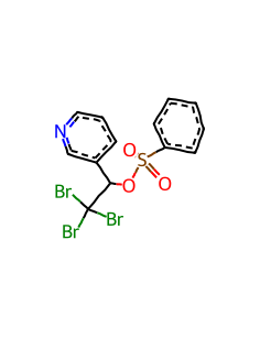 O=S(=O)(OC(c1cccnc1)C(Br)(Br)Br)c1ccccc1